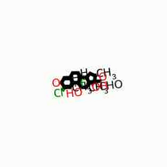 CC1C[C@H]2[C@@H]3CCC4=CC(=O)C(Cl)=C[C@]4(C)[C@@]3(F)C(O)C[C@]2(C)[C@@]1(O)C(=O)C=O